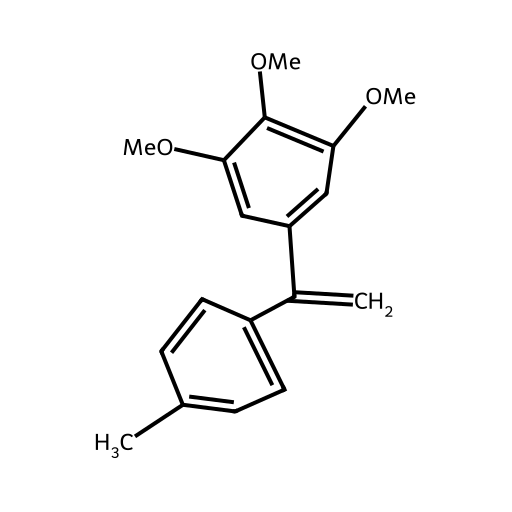 C=C(c1ccc(C)cc1)c1cc(OC)c(OC)c(OC)c1